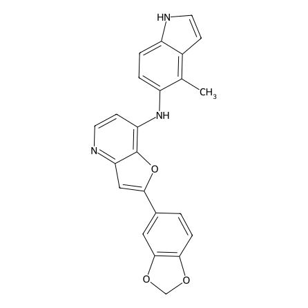 Cc1c(Nc2ccnc3cc(-c4ccc5c(c4)OCO5)oc23)ccc2[nH]ccc12